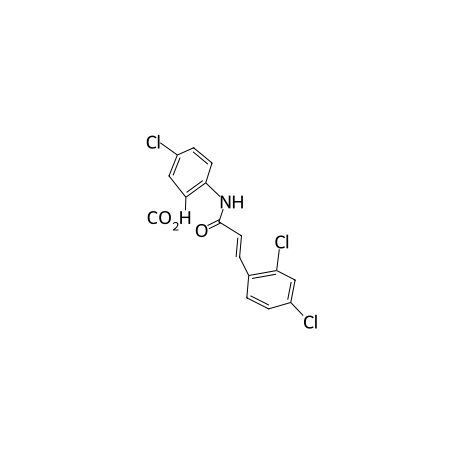 O=C(C=Cc1ccc(Cl)cc1Cl)Nc1ccc(Cl)cc1C(=O)O